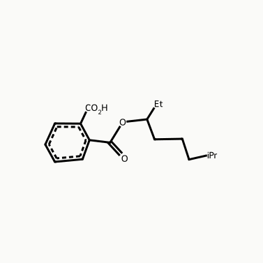 CCC(CCCC(C)C)OC(=O)c1ccccc1C(=O)O